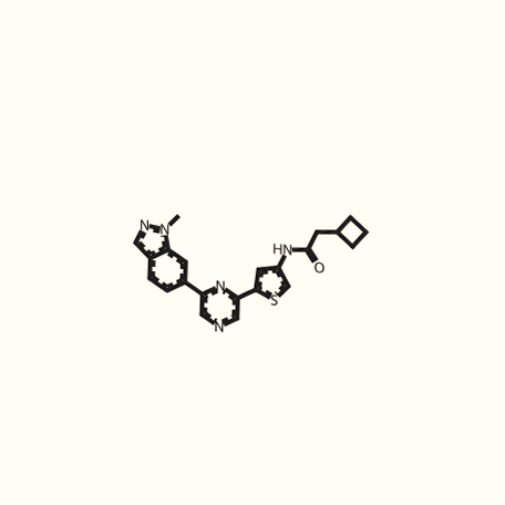 Cn1ncc2ccc(-c3cncc(-c4cc(NC(=O)CC5CCC5)cs4)n3)cc21